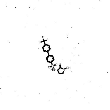 O=C1[C@@H](NS(=O)(=O)c2ccc(-c3ccc(C(F)(F)F)cc3)cc2)CCN1O